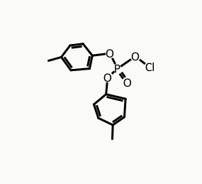 Cc1ccc(OP(=O)(OCl)Oc2ccc(C)cc2)cc1